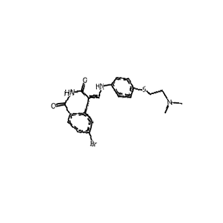 CN(C)CCSc1ccc(N/C=C2\C(=O)NC(=O)c3ccc(Br)cc32)cc1